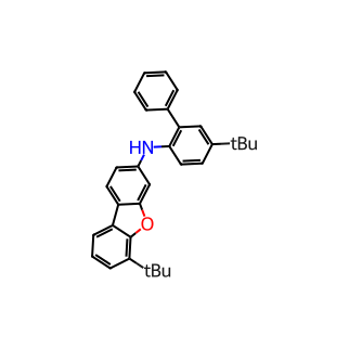 CC(C)(C)c1ccc(Nc2ccc3c(c2)oc2c(C(C)(C)C)cccc23)c(-c2ccccc2)c1